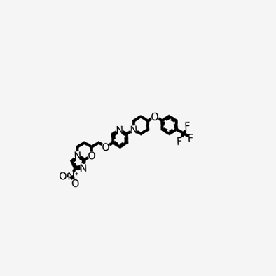 O=[N+]([O-])c1cn2c(n1)OC(COc1ccc(N3CCC(Oc4ccc(C(F)(F)F)cc4)CC3)nc1)CC2